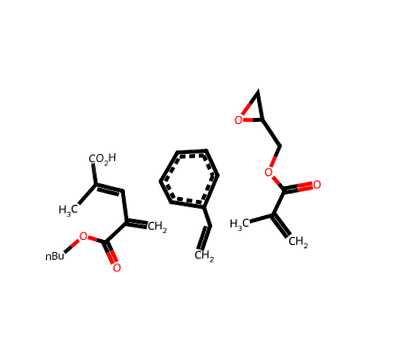 C=C(C)C(=O)OCC1CO1.C=C(C=C(C)C(=O)O)C(=O)OCCCC.C=Cc1ccccc1